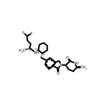 C=C1CCC(N2Cc3cc(C[C@H]4CCCC[C@@H]4N[C@@H](C)CCC(F)F)ccc3C2=O)C(=O)N1